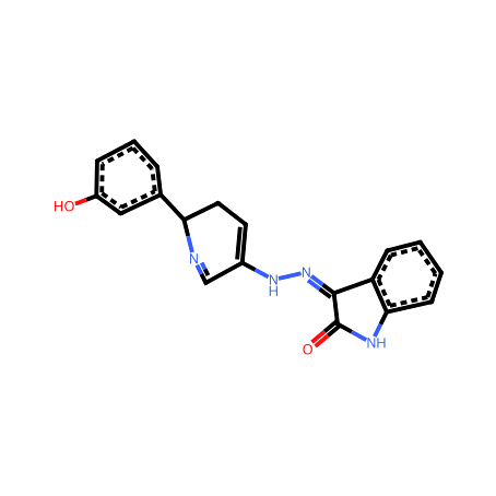 O=C1Nc2ccccc2/C1=N/NC1=CCC(c2cccc(O)c2)N=C1